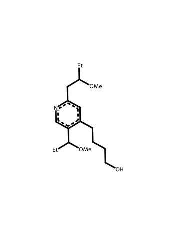 CCC(Cc1cc(CCCCO)c(C(CC)OC)cn1)OC